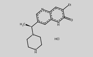 CCc1cc2ncc([C@H](C)N3CCNCC3)cc2[nH]c1=O.Cl